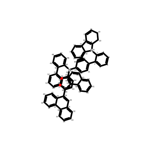 c1c(-c2ccccc2-n2c3c(c4ccccc42)C=CCC3)ccc(N(c2ccc(-c3cc4ccccc4c4ccccc34)cc2)c2ccccc2-c2cccc3oc4c5ccccc5ccc4c23)c#1